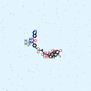 CN(C)C(C(=O)Nc1ccc2cnccc2c1)c1ccc(COC(=O)C2CC2C(=O)OCC(=O)[C@@]2(O)CC[C@H]3[C@@H]4CCC5=CC(=O)C=C[C@]5(C)[C@H]4[C@@H](O)C[C@@]32C)cc1